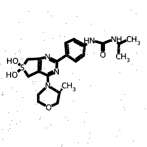 CC(C)NC(=O)Nc1ccc(-c2nc3c(c(N4CCOC[C@@H]4C)n2)CS(O)(O)C3)cc1